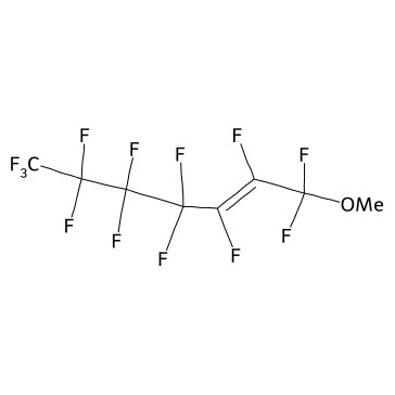 COC(F)(F)C(F)=C(F)C(F)(F)C(F)(F)C(F)(F)C(F)(F)F